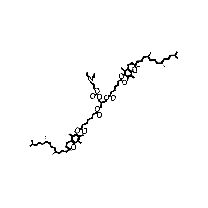 CCN(CC)CCCOC(=O)OCC(COC(=O)CCCCCC(=O)Oc1c(C)c(C)c2c(c1C)CC[C@](C)(CCC[C@@H](C)CCC[C@@H](C)CCCC(C)C)O2)COC(=O)CCCCCC(=O)Oc1c(C)c(C)c2c(c1C)CC[C@](C)(CCC[C@@H](C)CCC[C@@H](C)CCCC(C)C)O2